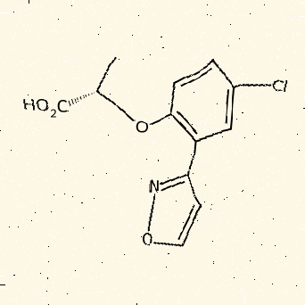 C[C@H](Oc1ccc(Cl)cc1-c1ccon1)C(=O)O